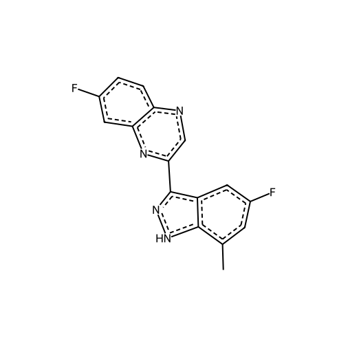 Cc1cc(F)cc2c(-c3cnc4ccc(F)cc4n3)n[nH]c12